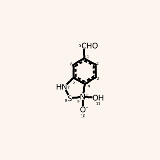 O=Cc1ccc2c(c1)NS[N+]2([O-])O